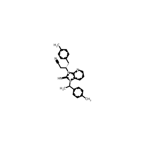 Cc1ccc(C[C@@H](CC#N)n2c(=N)n(C(C)c3ccc(C)cc3)c3cccnc32)cc1